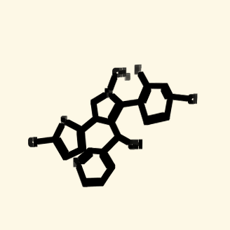 CN1CC(c2ccc(Cl)s2)C(C(O)c2cccnc2)=C1c1ccc(Cl)cc1F